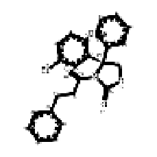 CCc1ccc(OC)c([C@@]2(c3ccccc3)COC(=O)N2C(=O)CCc2ccccc2)c1